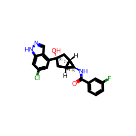 O=C(N[C@H]1[C@@H]2C[C@@](O)(c3cc(Cl)cc4[nH]ncc34)C[C@@H]21)c1cccc(F)c1